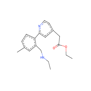 CCNCc1cc(C)ccc1-c1cc(CC(=O)OCC)ccn1